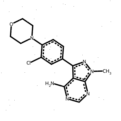 Cn1nc(-c2ccc(N3CCOCC3)c(Cl)c2)c2c(N)ncnc21